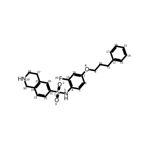 O=S(=O)(Nc1ccc(OCCCc2ccccc2)cc1F)c1ccc2c(c1)CCNC2